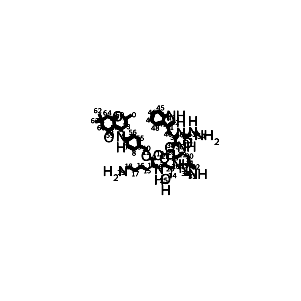 CC(C)CC(Nc1ccc(COC(=O)[C@H](CCCCN)NC(=O)[C@@H](CO)NC(=O)[C@H](Cc2c[nH]cn2)NC(=O)[C@@H](Cc2c[nH]c3ccccc23)NC(=O)NN)cc1)=C1C(=O)CC(C)(C)CC1=O